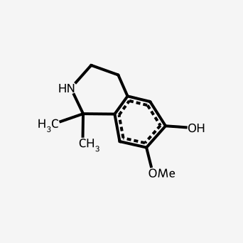 COc1cc2c(cc1O)CCNC2(C)C